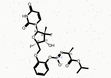 CC(C)OC(=O)[C@H](C)/N=[P+](\[O-])Oc1ccccc1OC[C@@]1(F)O[C@@H](n2ccc(=O)[nH]c2=O)[C@](C)(F)[C@@H]1O